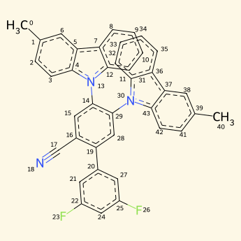 Cc1ccc2c(c1)c1ccccc1n2-c1cc(C#N)c(-c2cc(F)cc(F)c2)cc1-n1c2ccccc2c2cc(C)ccc21